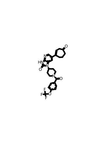 O=C1CC=C(c2cnc3[nH]c(=O)n(C4CCN(C(=O)c5ccc(OC(F)(F)F)cc5)CC4)c3c2)CCC1